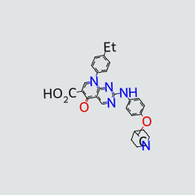 CCc1ccc(-n2cc(C(=O)O)c(=O)c3cnc(Nc4ccc(OC5CN6CCC5CC6)cc4)nc32)cc1